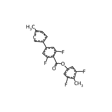 Cc1ccc(-c2cc(F)c(C(=O)Oc3cc(F)c(C)c(F)c3)c(F)c2)cc1